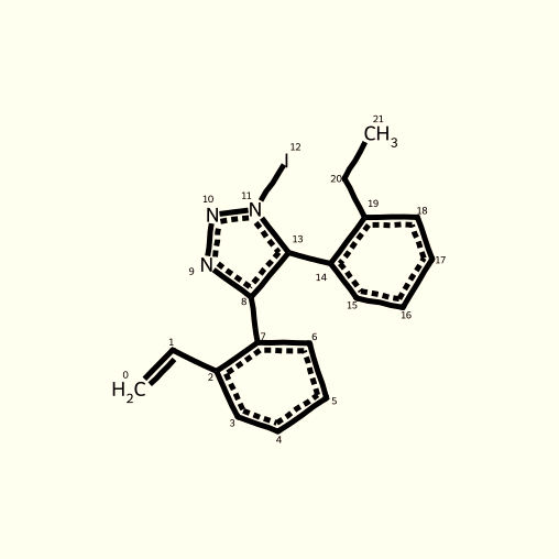 C=Cc1ccccc1-c1nnn(I)c1-c1ccccc1CC